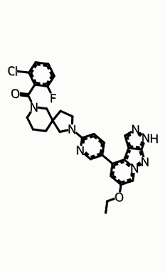 CCOc1cc(-c2ccc(N3CCC4(CCCN(C(=O)c5c(F)cccc5Cl)C4)C3)nc2)c2c3cn[nH]c3nn2c1